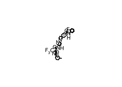 CC1CCCN(c2nc(C(F)(F)F)c(C(=O)Nc3ccc(N4CCC5(CCN(C(=O)Nc6ccccc6F)CC5)C4)nc3)o2)C1